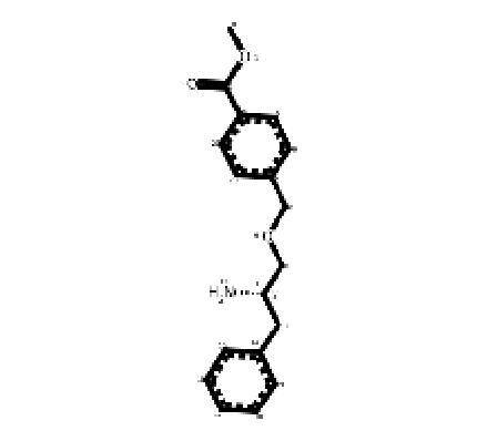 COC(=O)c1ccc(COC[C@@H](N)Cc2ccccc2)cc1